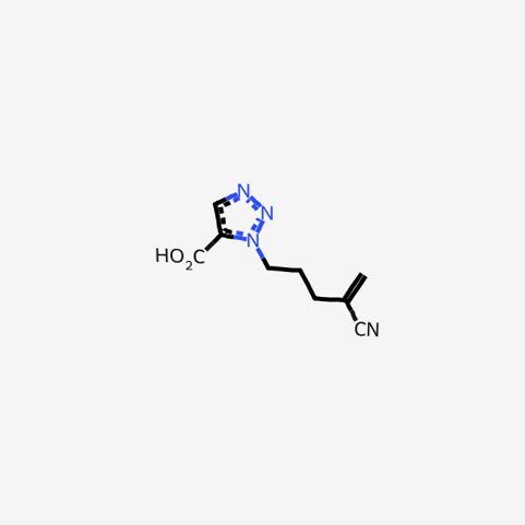 C=C(C#N)CCCn1nncc1C(=O)O